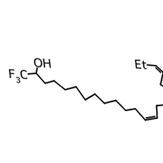 CC/C=C\C/C=C\C/C=C\CCCCCCCCCCC(O)C(F)(F)F